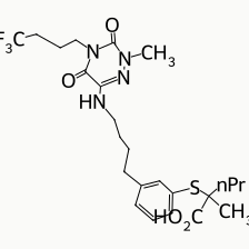 CCCC(C)(Sc1cccc(CCCCNc2nn(C)c(=O)n(CCCC(F)(F)F)c2=O)c1)C(=O)O